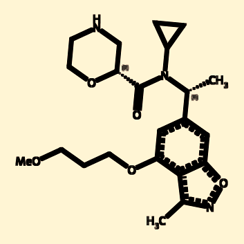 COCCCOc1cc([C@@H](C)N(C(=O)[C@H]2CNCCO2)C2CC2)cc2onc(C)c12